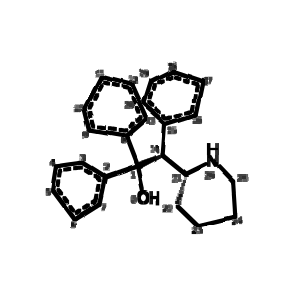 OC(c1ccccc1)(c1ccccc1)[C@@H](c1ccccc1)[C@H]1CCCCN1